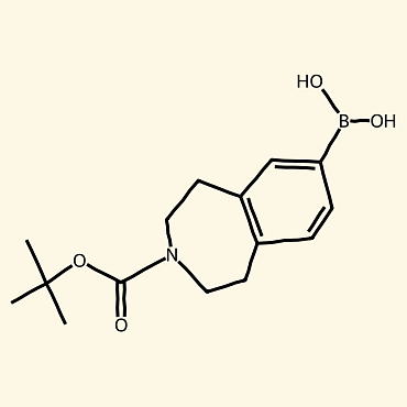 CC(C)(C)OC(=O)N1CCc2ccc(B(O)O)cc2CC1